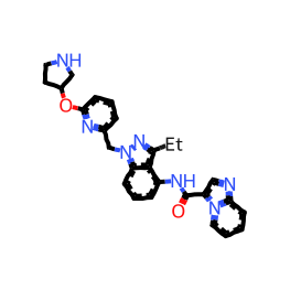 CCc1nn(Cc2cccc(OC3CCNC3)n2)c2cccc(NC(=O)c3cnc4ccccn34)c12